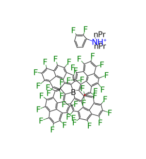 CCC[NH+](CCC)c1cccc(F)c1F.Fc1c(F)c2c(F)c(F)c3c(F)c(F)c([B-](c4c(F)c(F)c5c(F)c(F)c6c(F)c(F)c(F)c7c(F)c(F)c4c5c67)(c4c(F)c(F)c5c(F)c(F)c6c(F)c(F)c(F)c7c(F)c(F)c4c5c67)c4c(F)c(F)c5c(F)c(F)c6c(F)c(F)c(F)c7c(F)c(F)c4c5c67)c4c(F)c(F)c(c1F)c2c34